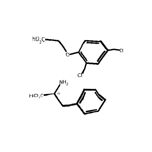 N[C@@H](Cc1ccccc1)C(=O)O.O=C(O)COc1ccc(Cl)cc1Cl